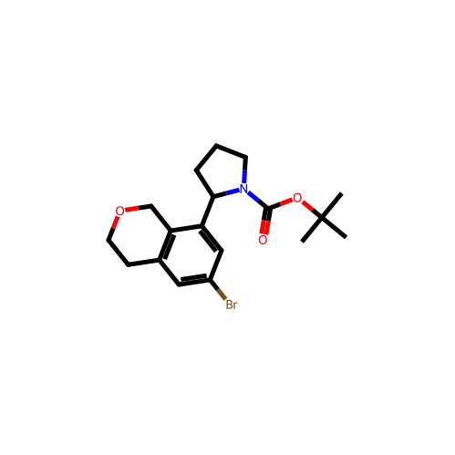 CC(C)(C)OC(=O)N1CCCC1c1cc(Br)cc2c1COCC2